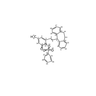 Cc1cc(C=CC2c3ccccc3CCc3ccccc32)n(OS(=O)(=O)c2ccccc2)c(=O)c1